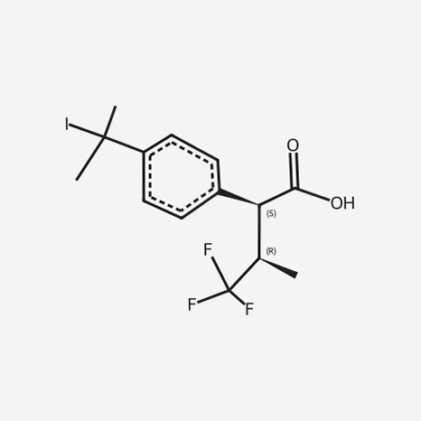 C[C@H]([C@H](C(=O)O)c1ccc(C(C)(C)I)cc1)C(F)(F)F